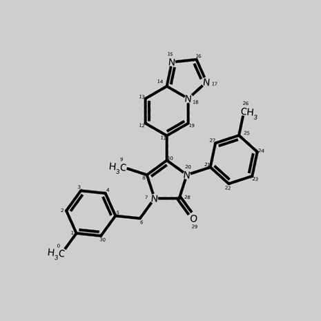 Cc1cccc(Cn2c(C)c(-c3ccc4ncnn4c3)n(-c3cccc(C)c3)c2=O)c1